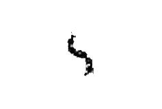 CCOc1cnc(CN2CCC(c3ccc4c(c3)N(C)C(C(=O)N3CCN(Cc5ccc(C#N)cc5)CC3)CC4)CC2)cn1